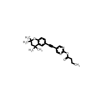 CCCC(=O)Oc1ncc(C#Cc2ccc3c(c2)C(C)(C)CC(C)(C)O3)cn1